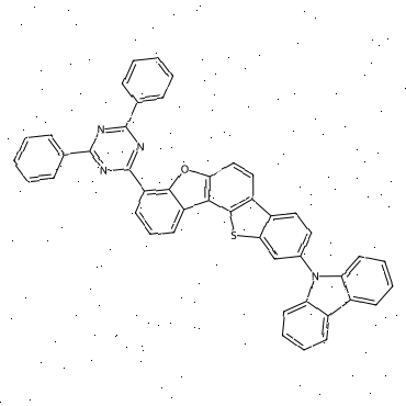 c1ccc(-c2nc(-c3ccccc3)nc(-c3cccc4c3oc3ccc5c6ccc(-n7c8ccccc8c8ccccc87)cc6sc5c34)n2)cc1